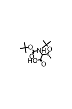 C[C@H](OC(C)(C)C)C(NC(=O)OC(C)(C)C)C(=O)O